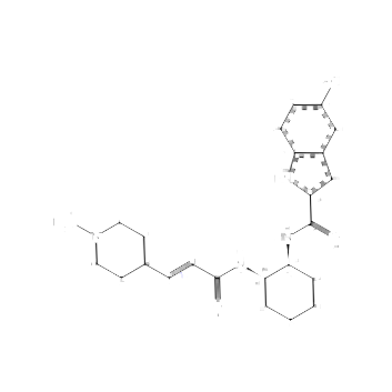 CN1CCC(/C=C/C(=O)N[C@@H]2CCCC[C@@H]2NC(=O)c2cc3cc(Cl)ccc3[nH]2)CC1